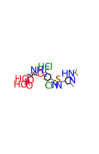 Cc1cc(-c2nnc(-c3cc(F)c(OC[C@H](N)[C@H](C)OP(=O)(O)O)cc3Cl)s2)cc(NC(C)C)n1.Cl